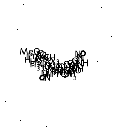 COC(=O)C(C(C)C)N(C)C(=O)[C@H](CS)N(C)C(=O)C(C)NC(=O)C(COC(=O)C(C(C)C)N(C)C(=O)[C@H](CS)N(C)C(=O)C(C)NC(=O)C(CO)NC(=O)c1cnc2ccccc2n1)NC(=O)c1cnc2ccccc2n1